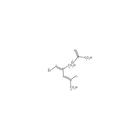 C=C(CC)C(=O)O.CCC=C(C=C(C)C(=O)O)C(=O)O